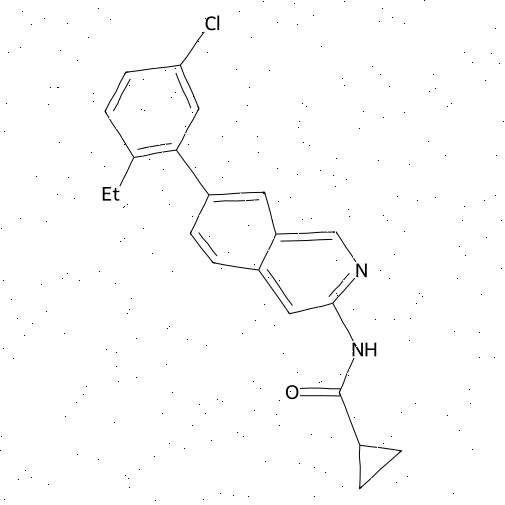 CCc1ccc(Cl)cc1-c1ccc2cc(NC(=O)C3CC3)ncc2c1